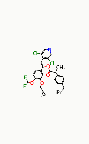 CC(C)Cc1ccc(C(C)C(=O)O/C(=C\c2c(Cl)cncc2Cl)c2ccc(OC(F)F)c(OCC3CC3)c2)cc1